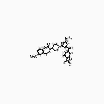 COc1ccc2c(c1)CCN(C1CCN(c3cc(C(=O)c4cc(C)c5c(c4)oc(=O)n5C)cc(N)n3)CC1)C(=O)N2